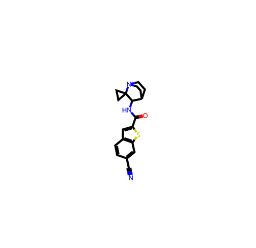 N#Cc1ccc2cc(C(=O)NC3C4CCN(CC4)C34CC4)sc2c1